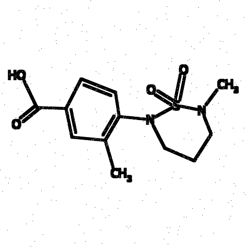 Cc1cc(C(=O)O)ccc1N1CCCN(C)S1(=O)=O